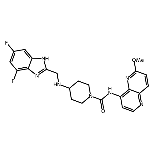 COc1ccc2nccc(NC(=O)N3CCC(NCc4nc5c(F)cc(F)cc5[nH]4)CC3)c2n1